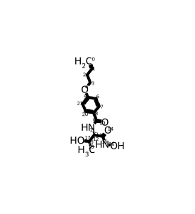 C=CCCOc1ccc(C(=O)N[C@H](C(=O)NO)[C@@H](C)O)cc1